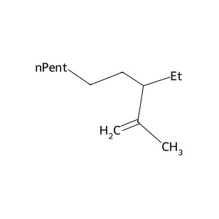 C=C(C)C(CC)CCCCCCC